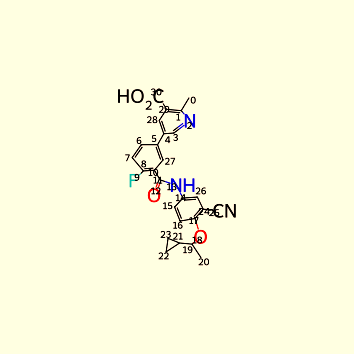 Cc1ncc(-c2ccc(F)c(C(=O)Nc3ccc(OC(C)C4CC4)c(C#N)c3)c2)cc1C(=O)O